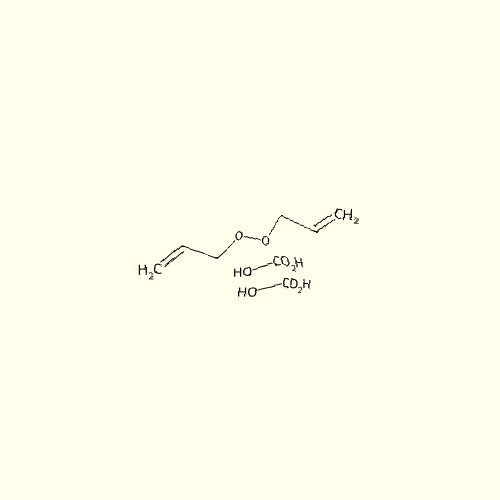 C=CCOOCC=C.O=C(O)O.O=C(O)O